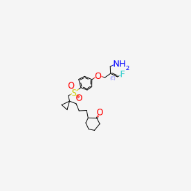 NC/C(=C\F)COc1ccc(S(=O)(=O)CC2(CCCC3CCCCC3=O)CC2)cc1